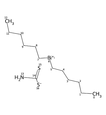 CCCCC[CH2][Bi+][CH2]CCCCC.NC(=S)[S-]